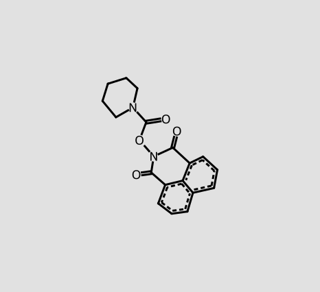 O=C(ON1C(=O)c2cccc3cccc(c23)C1=O)N1CCCCC1